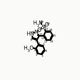 Cc1ccccc1-c1c[nH]nc1-c1ccccc1S(N)(=O)=O